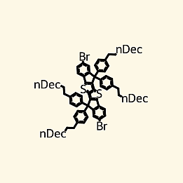 CCCCCCCCCCCCc1ccc(C2(c3ccc(CCCCCCCCCCCC)cc3)c3cc(Br)ccc3-c3sc4c5c(sc4c32)-c2ccc(Br)cc2C5(c2ccc(CCCCCCCCCCCC)cc2)c2ccc(CCCCCCCCCCCC)cc2)cc1